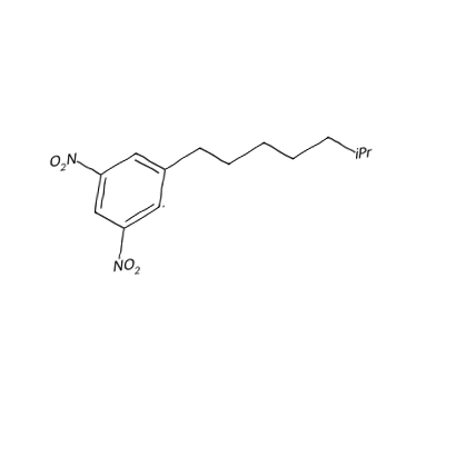 CC(C)CCCCCc1[c]c([N+](=O)[O-])cc([N+](=O)[O-])c1